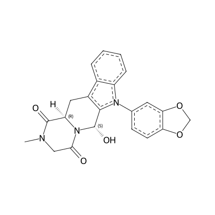 CN1CC(=O)N2[C@H](Cc3c(n(-c4ccc5c(c4)OCO5)c4ccccc34)[C@@H]2O)C1=O